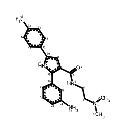 CN(C)CCNC(=O)c1cc(-c2ccc(C(F)(F)F)cc2)[nH]c1-c1cccc(N)c1